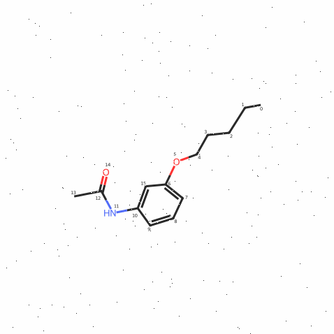 CCCC[CH]Oc1cccc(NC(C)=O)c1